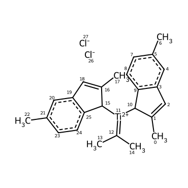 CC1=Cc2cc(C)ccc2[CH]1[Ti+2](=[C](C)C)[CH]1C(C)=Cc2cc(C)ccc21.[Cl-].[Cl-]